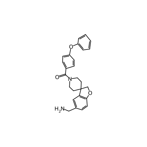 NCc1ccc2c(c1)C1(CCN(C(=O)c3ccc(Oc4ccccc4)cc3)CC1)CO2